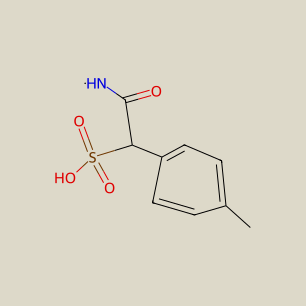 Cc1ccc(C(C([NH])=O)S(=O)(=O)O)cc1